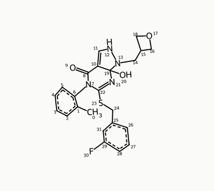 Cc1ccccc1N1C(=O)C2=CNN(CC3COC3)C2(O)N=C1SCc1cccc(F)c1